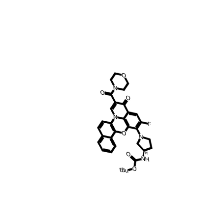 CC(C)(C)OC(=O)N[C@@H]1CCN(c2c(F)cc3c(=O)c(C(=O)N4CCOCC4)cn4c3c2Oc2c-4ccc3ccccc23)C1